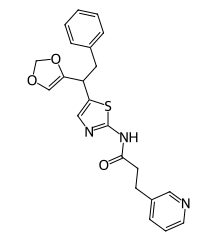 O=C(CCc1cccnc1)Nc1ncc(C(Cc2ccccc2)C2=COCO2)s1